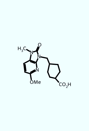 COc1ccc2c(n1)n(CC1CCC(C(=O)O)CC1)c(=O)n2C